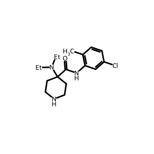 CCN(CC)C1(C(=O)Nc2cc(Cl)ccc2C)CCNCC1